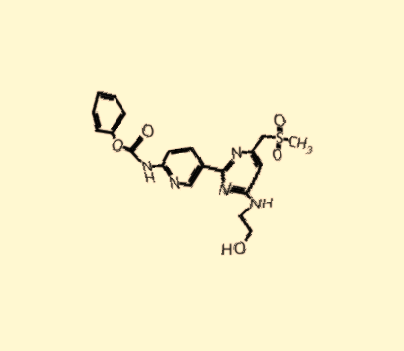 CS(=O)(=O)Cc1cc(NCCO)nc(-c2ccc(NC(=O)Oc3ccccc3)nc2)n1